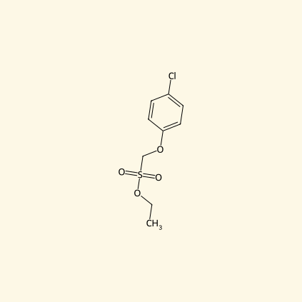 CCOS(=O)(=O)COc1ccc(Cl)cc1